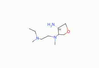 CCN(C)CCN(C)C1COC[C@H]1N